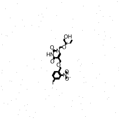 CC[C@@H](CO)OCn1cc(COCc2ccc(I)cc2[N+](=O)[O-])c(=O)[nH]c1=O